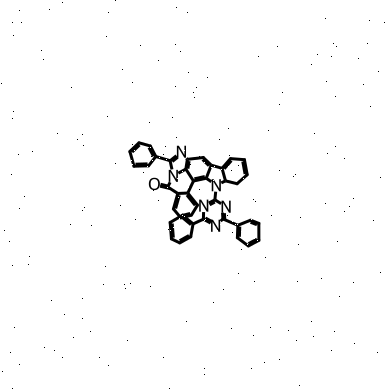 O=c1c2ccccc2c2c3c(cc4nc(-c5ccccc5)n1c42)C1=CC=CCC1N3c1nc(-c2ccccc2)nc(-c2ccccc2)n1